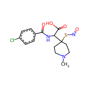 CN1CCC(SN=O)(C(NC(=O)c2ccc(Cl)cc2)C(=O)O)CC1